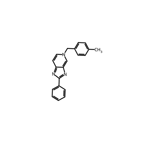 Cc1ccc(Cn2ccc3nc(-c4ccccc4)nc-3c2)cc1